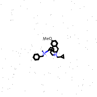 COc1ccc2c(c1)C13CCN(CC4CC4)C(C2)C12CCC(N(C)Cc1ccccc1)C3CC2